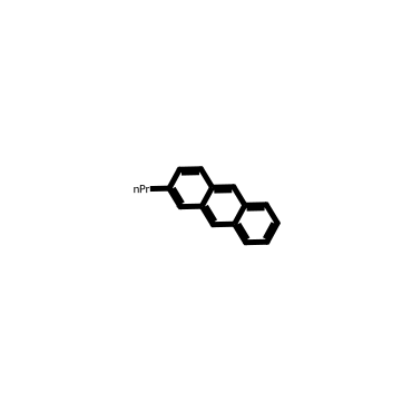 CCCc1[c]c2cc3ccccc3cc2cc1